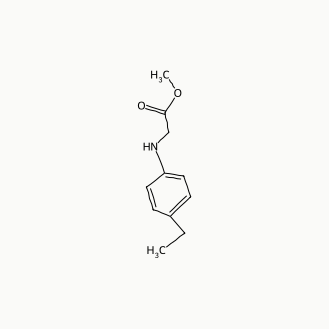 CCc1ccc(NCC(=O)OC)cc1